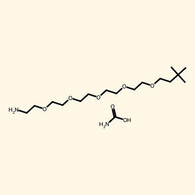 CC(C)(C)CCOCCOCCOCCOCCOCCN.NC(=O)O